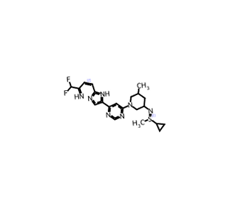 CC1CC(/N=S(\C)C2CC2)CN(c2cc(-c3cnc(/C=C\C(=N)C(F)F)[nH]3)ncn2)C1